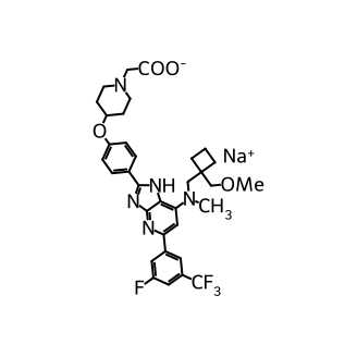 COCC1(CN(C)c2cc(-c3cc(F)cc(C(F)(F)F)c3)nc3nc(-c4ccc(OC5CCN(CC(=O)[O-])CC5)cc4)[nH]c23)CCC1.[Na+]